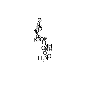 COCCN(Cc1ccc(-c2cc3nccc(Oc4ccc(NC(=O)Nc5cccc(C(N)=O)c5)cc4F)c3s2)nc1)C(C)=O